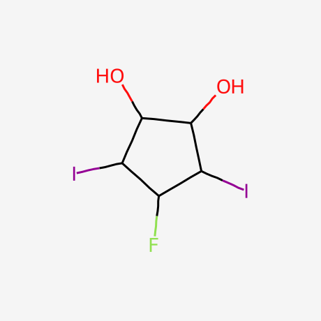 OC1C(O)C(I)C(F)C1I